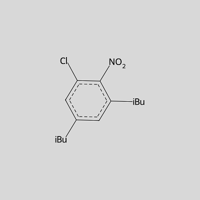 CCC(C)c1cc(Cl)c([N+](=O)[O-])c(C(C)CC)c1